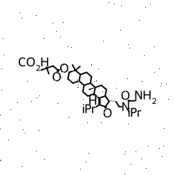 CC(C)C1=C2C(CC[C@]3(C)[C@@H]2CCC2[C@@]4(C)CC[C@H](OC(=O)CC(C)(C)C(=O)O)C(C)(C)C4CC[C@]23C)[C@H](CCN(C(=O)CN)C(C)C)C1=O